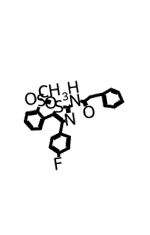 CS(=O)(=O)c1ccccc1-c1sc(NC(=O)Cc2ccccc2)nc1-c1ccc(F)cc1